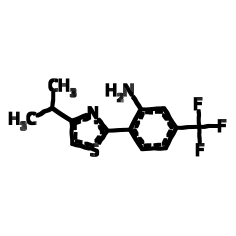 CC(C)c1csc(-c2ccc(C(F)(F)F)cc2N)n1